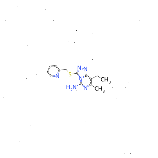 CCc1c(C)nc(N)n2c(SCc3ccccn3)nnc12